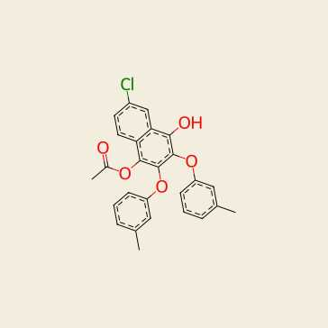 CC(=O)Oc1c(Oc2cccc(C)c2)c(Oc2cccc(C)c2)c(O)c2cc(Cl)ccc12